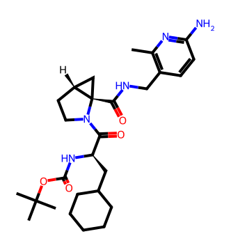 Cc1nc(N)ccc1CNC(=O)[C@]12C[C@H]1CCN2C(=O)[C@@H](CC1CCCCC1)NC(=O)OC(C)(C)C